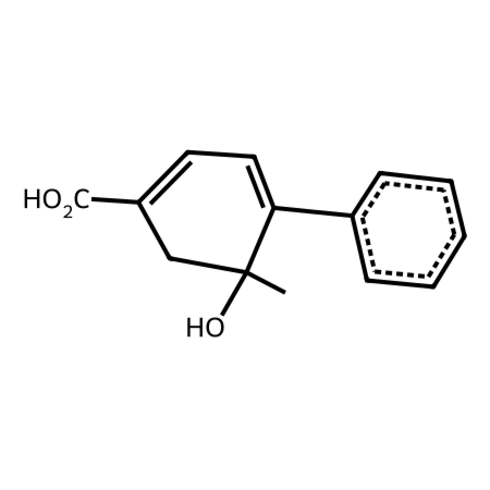 CC1(O)CC(C(=O)O)=CC=C1c1ccccc1